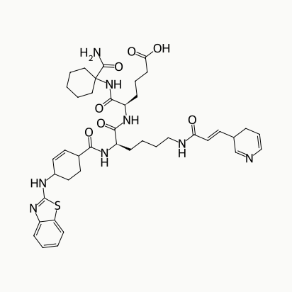 NC(=O)C1(NC(=O)[C@@H](CCCC(=O)O)NC(=O)[C@@H](CCCCNC(=O)/C=C/C2C=NC=CC2)NC(=O)C2C=CC(Nc3nc4ccccc4s3)CC2)CCCCC1